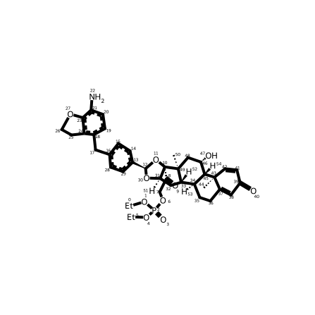 CCOP(=O)(OCC)OCC(=O)[C@@]12O[C@H](c3ccc(Cc4ccc(N)c5c4CCO5)cc3)O[C@@H]1C[C@H]1[C@@H]3CCC4=CC(=O)C=C[C@]4(C)[C@H]3[C@@H](O)C[C@@]12C